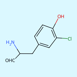 NC(C=O)Cc1ccc(O)c(Cl)c1